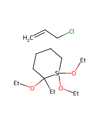 C=CCCl.CCOC1(CC)CCCC[Si]1(OCC)OCC